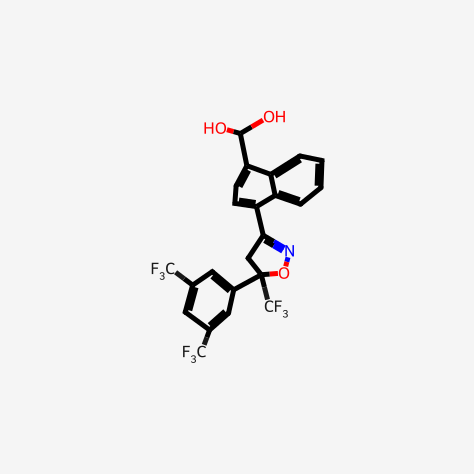 OC(O)c1ccc(C2=NOC(c3cc(C(F)(F)F)cc(C(F)(F)F)c3)(C(F)(F)F)C2)c2ccccc12